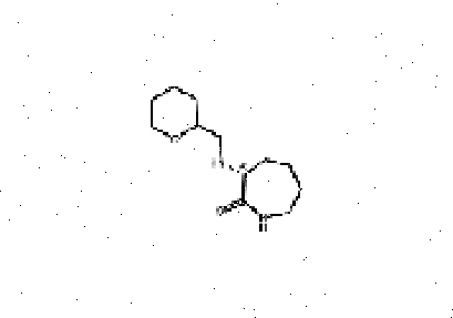 O=C1NCCCC[C@H]1NCC1CCCCO1